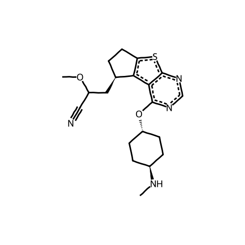 CN[C@H]1CC[C@H](Oc2ncnc3sc4c(c23)[C@@H](CC(C#N)OC)CC4)CC1